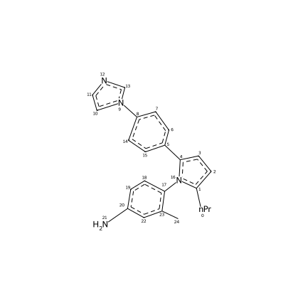 CCCc1ccc(-c2ccc(-n3ccnc3)cc2)n1-c1ccc(N)cc1C